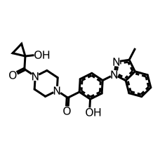 Cc1nn(-c2ccc(C(=O)N3CCN(C(=O)C4(O)CC4)CC3)c(O)c2)c2ccccc12